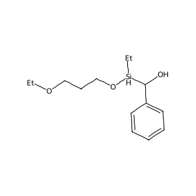 CCOCCCO[SiH](CC)C(O)c1ccccc1